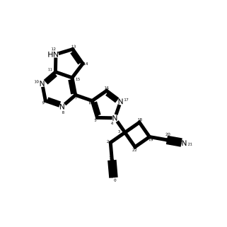 C#CCC1(n2cc(-c3ncnc4[nH]ccc34)cn2)CC(C#N)C1